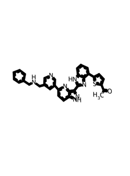 CC(=O)c1ccc(-c2cccc3[nH]c(-c4n[nH]c5ccc(-c6cncc(CNCc7ccccc7)c6)nc45)nc23)s1